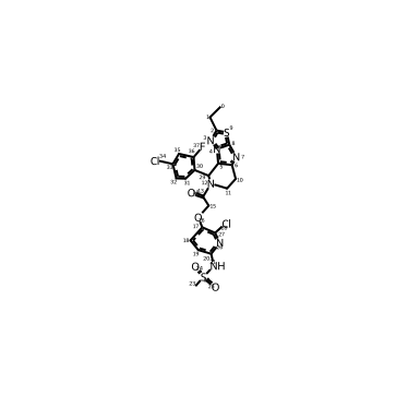 CCc1nn2c3c(nc2s1)CCN(C(=O)COc1ccc(NS(C)(=O)=O)nc1Cl)C3c1ccc(Cl)cc1F